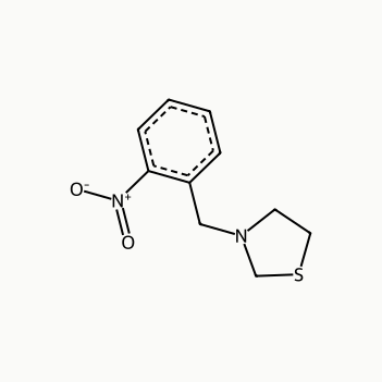 O=[N+]([O-])c1ccccc1CN1CCSC1